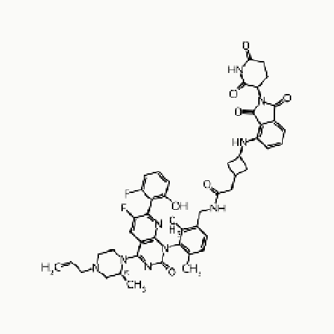 C=CCN1CCN(c2nc(=O)n(-c3c(C)ccc(CNC(=O)CC4CC(Nc5cccc6c5C(=O)N(C5CCC(=O)NC5=O)C6=O)C4)c3C)c3nc(-c4c(O)cccc4F)c(F)cc23)[C@@H](C)C1